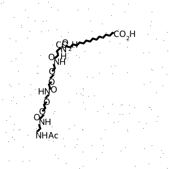 [CH2]C(=O)NCCCNC(=O)COCCOCCNC(=O)COCCOCCNC(=O)CC[C@H](NC(=O)CCCCCCCCCCCCCCC(=O)O)C(=O)O